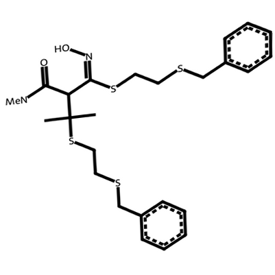 CNC(=O)C(C(=NO)SCCSCc1ccccc1)C(C)(C)SCCSCc1ccccc1